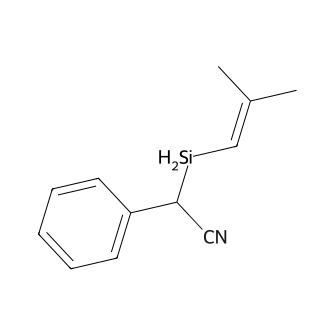 CC(C)=C[SiH2]C(C#N)c1ccccc1